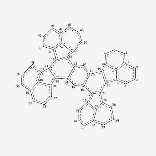 c1cc2cccc3c2c(c1)c1c2cc4c(cc2c2c5cccc6cccc(c65)c2c31)c1c2cccc3cccc(c32)c1c1c2cccc3cccc(c32)c41